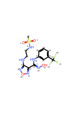 CS(=O)(=O)NCCNc1nonc1/C(=N/O)Nc1cccc(C(F)(F)F)c1